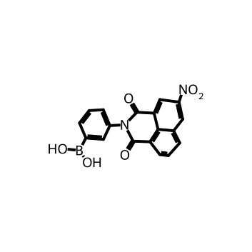 O=C1c2cccc3cc([N+](=O)[O-])cc(c23)C(=O)N1c1cccc(B(O)O)c1